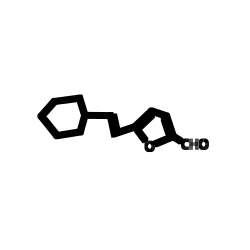 O=Cc1ccc(C=CC2CCCCC2)o1